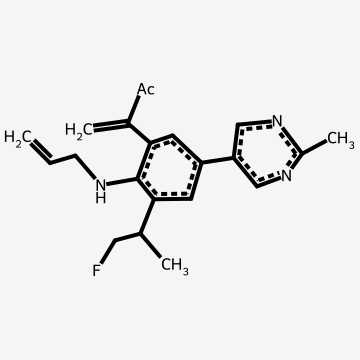 C=CCNc1c(C(=C)C(C)=O)cc(-c2cnc(C)nc2)cc1C(C)CF